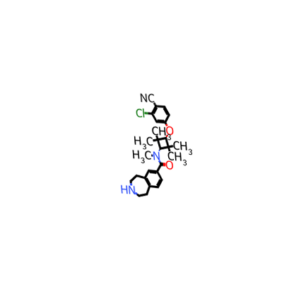 CN(C(=O)c1ccc2c(c1)CCNCC2)[C@H]1C(C)(C)[C@H](Oc2ccc(C#N)c(Cl)c2)C1(C)C